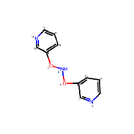 c1cncc(ONOc2cccnc2)c1